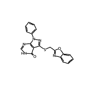 O=c1[nH]cnc2c1c(SCc1nc3ccccc3o1)nn2-c1ccccc1